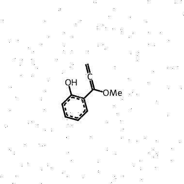 C=C=C(OC)c1ccccc1O